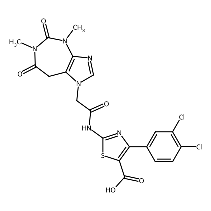 CN1C(=O)Cc2c(ncn2CC(=O)Nc2nc(-c3ccc(Cl)c(Cl)c3)c(C(=O)O)s2)N(C)C1=O